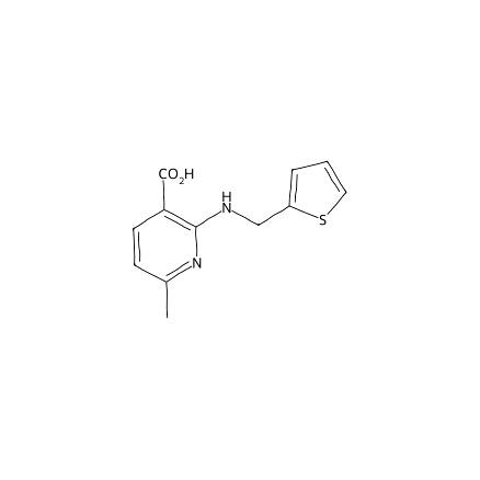 Cc1ccc(C(=O)O)c(NCc2cccs2)n1